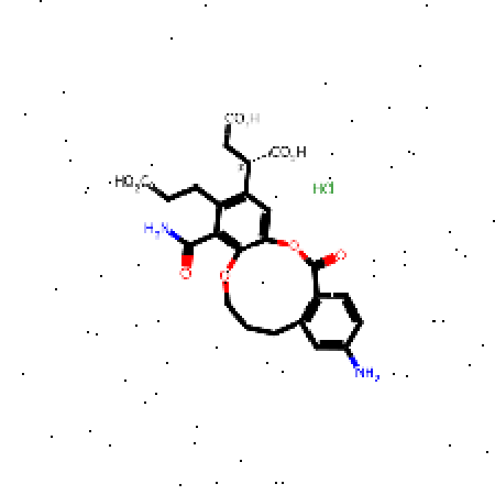 Cl.NC(=O)c1c(CCC(=O)O)c([C@H](CC(=O)O)C(=O)O)cc2c1OCCCc1cc(N)ccc1C(=O)O2